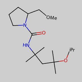 COCC1CCCN1C(=O)NC(C)(C)CC(C)(C)OC(C)C